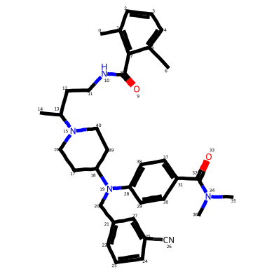 Cc1cccc(C)c1C(=O)NCCC(C)N1CCC(N(Cc2cccc(C#N)c2)c2ccc(C(=O)N(C)C)cc2)CC1